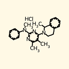 Cc1nc(N(C)c2ccccc2)nc(N2CCc3ccccc3C2C)c1C.Cl